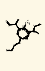 CCCCc1cc(C(C)CC)c(O)c(C(C)CC)c1